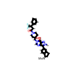 CNC1CCc2cc(-c3c4ncn(CC5(O)CCN(C(=O)CC(c6ccccc6)C(F)F)CC5)c(=O)c4nn3C)ccc21